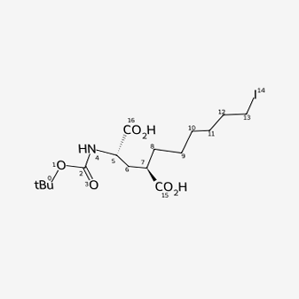 CC(C)(C)OC(=O)N[C@@H](C[C@@H](CCCCCCI)C(=O)O)C(=O)O